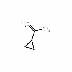 C=C(C)C1CC1